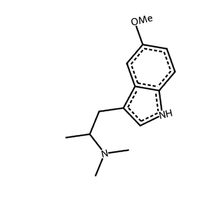 COc1ccc2[nH]cc(CC(C)N(C)C)c2c1